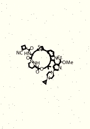 CCn1c(-c2cc(N3CCN(C4CC4)CC3)cnc2[C@H](C)OC)c2c3cc(ccc31)-c1csc(n1)C[C@H](NC(=O)[C@@H]1CC[C@H]1C#N)C(=O)N1CCC[C@H](N1)C(=O)OCC(C)(C)C2